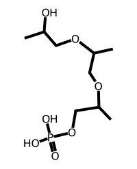 CC(O)COC(C)COC(C)COP(=O)(O)O